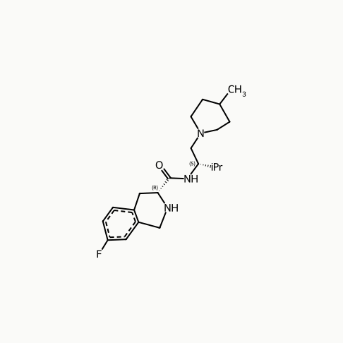 CC1CCN(C[C@@H](NC(=O)[C@H]2Cc3ccc(F)cc3CN2)C(C)C)CC1